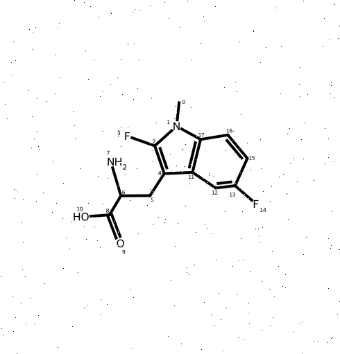 Cn1c(F)c(CC(N)C(=O)O)c2cc(F)ccc21